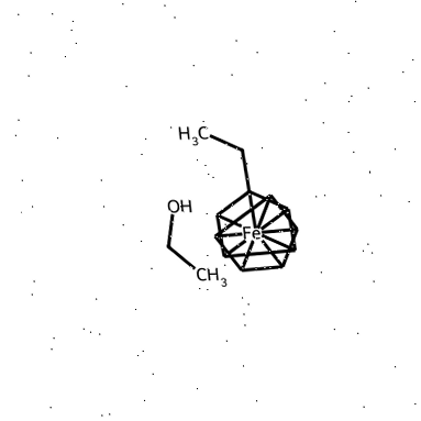 CCO.CC[C]12[CH]3[CH]4[CH]5[CH]1[Fe]45321678[CH]2[CH]1[CH]6[CH]7[CH]28